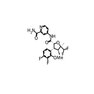 COc1c([C@@H]2[C@H](C(=O)Nc3ccnc(C(N)=O)c3)O[C@@](C)(C(F)F)[C@H]2C)ccc(F)c1F